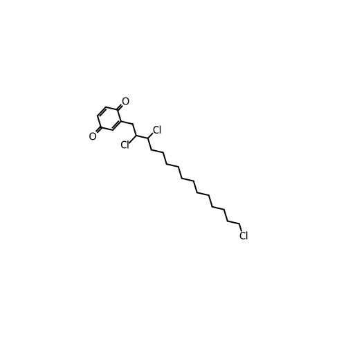 O=C1C=CC(=O)C(CC(Cl)C(Cl)CCCCCCCCCCCCCl)=C1